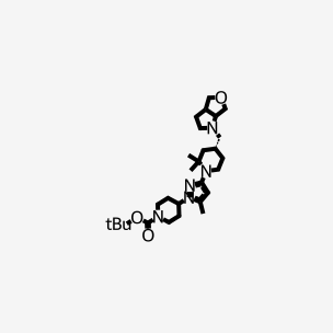 Cc1cc(N2CC[C@@H](CN3CCC4COCC43)CC2(C)C)nn1C1CCN(C(=O)OC(C)(C)C)CC1